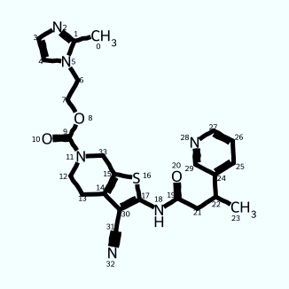 Cc1nccn1CCOC(=O)N1CCc2c(sc(NC(=O)CC(C)c3cccnc3)c2C#N)C1